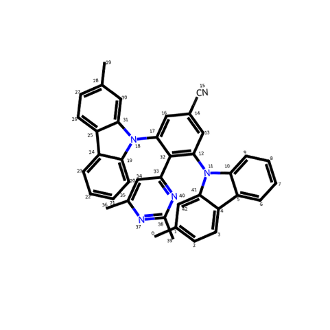 Cc1ccc2c3ccccc3n(-c3cc(C#N)cc(-n4c5ccccc5c5ccc(C)cc54)c3-c3cc(C)nc(C)n3)c2c1